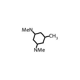 CNC1CC(C)CC(NC)C1